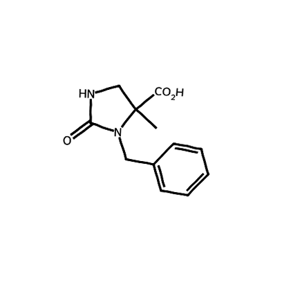 CC1(C(=O)O)CNC(=O)N1Cc1ccccc1